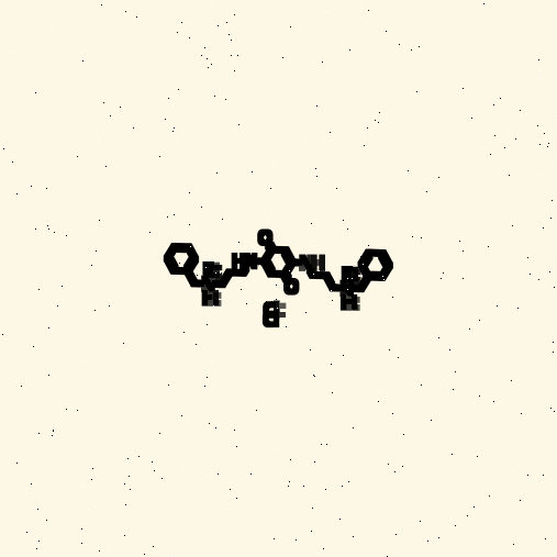 CC[N+](CC)(CCCNC1=CC(=O)C(NCCC[N+](CC)(CC)Cc2ccccc2)=CC1=O)Cc1ccccc1.[Cl-].[Cl-]